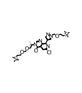 C[C@@H](COCOCC[Si](C)(C)C)n1cnc2c(-c3cnn(COCC[Si](C)(C)C)c3)nc(Cl)cc2c1=O